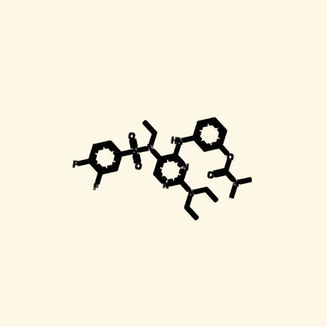 CCN(CC)c1ncc(N(CC)S(=O)(=O)c2ccc(F)c(F)c2)c(Nc2[c]c(OC(=O)N(C)C)ccc2)n1